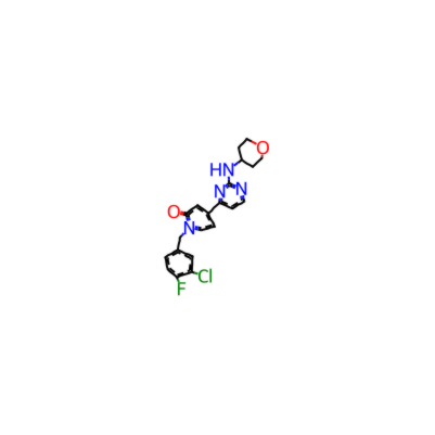 O=c1cc(-c2ccnc(NC3CCOCC3)n2)ccn1Cc1ccc(F)c(Cl)c1